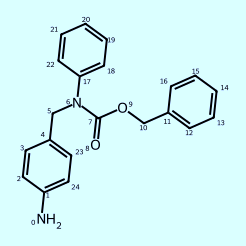 Nc1ccc(CN(C(=O)OCc2ccccc2)c2ccccc2)cc1